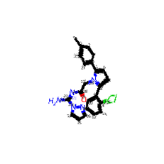 Cc1ccc(-c2ccc(-c3ccccc3Cl)n2CC(=O)/N=C(/N)n2cccn2)cc1